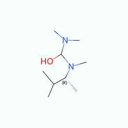 CC(C)[C@@H](C)N(C)C(O)N(C)C